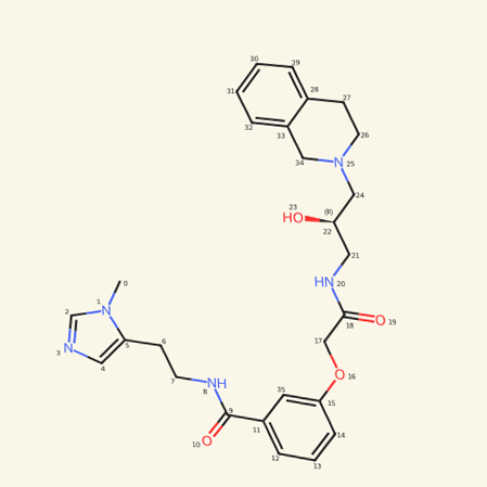 Cn1cncc1CCNC(=O)c1cccc(OCC(=O)NC[C@@H](O)CN2CCc3ccccc3C2)c1